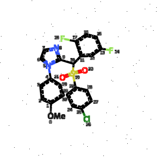 COc1ccc(-n2ccnc2C(c2cc(F)ccc2F)S(=O)(=O)c2ccc(Cl)cc2)cc1